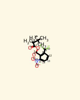 C=C(C(=O)OC(=O)c1c(C(F)F)cccc1[N+](=O)[O-])C(C)(C)C